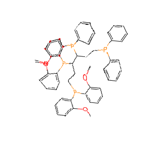 COc1ccccc1P(CCC(C(CCP(c1ccccc1)c1ccccc1)P(c1ccccc1)c1ccccc1)P(c1ccccc1OC)c1ccccc1OC)c1ccccc1OC